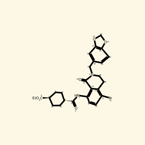 CCOC(=O)[C@H]1CC[C@H](C(=O)Nc2ccc(Br)c3c2C(=O)N(Cc2ccc4c(c2)OCO4)CC3)CC1